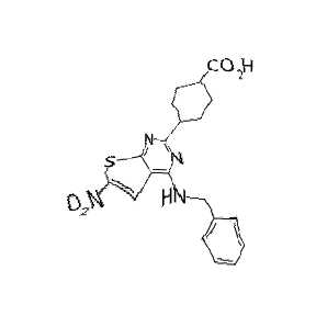 O=C(O)C1CCC(c2nc(NCc3ccccc3)c3cc([N+](=O)[O-])sc3n2)CC1